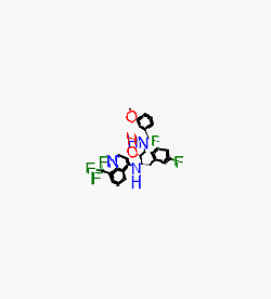 COc1cccc(CNC[C@@H](O)[C@H](Cc2cc(F)cc(F)c2)Nc2ccnc3c(C(F)(F)F)cccc23)c1